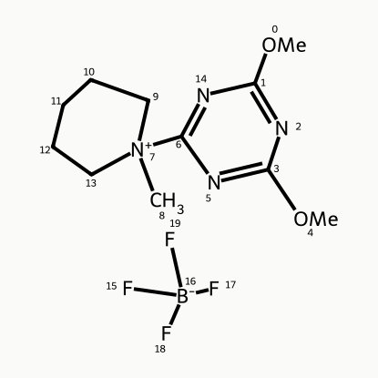 COc1nc(OC)nc([N+]2(C)CCCCC2)n1.F[B-](F)(F)F